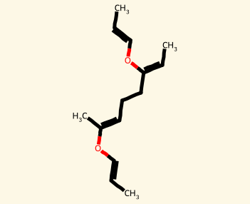 CC=COC(C)=CCCC(=CC)OC=CC